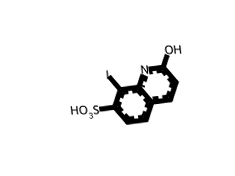 O=S(=O)(O)c1ccc2ccc(O)nc2c1I